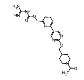 CC(=O)N1CCC(COc2ncc(-c3cccc(COC(=O)NC(=N)N)n3)cn2)CC1